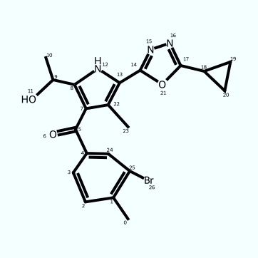 Cc1ccc(C(=O)c2c(C(C)O)[nH]c(-c3nnc(C4CC4)o3)c2C)cc1Br